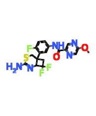 COc1cnc(C(=O)Nc2ccc(F)c(C34CSC(N)=NC3C(F)(F)C4)c2)cn1